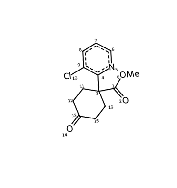 COC(=O)C1(c2ncccc2Cl)CCC(=O)CC1